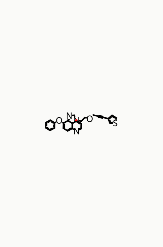 C(#Cc1ccsc1)COCCN1CN=C2C(Oc3ccccc3)=CC=C3N=CC=CC321